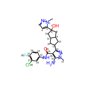 Cn1nccc1C1(O)CC2CC(c3nn(C)c(N)c3C(=O)Nc3ccc(F)c(Cl)c3)CC2C1